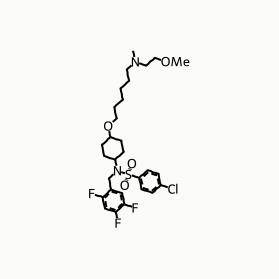 COCCN(C)CCCCCCOC1CCC(N(Cc2cc(F)c(F)cc2F)S(=O)(=O)c2ccc(Cl)cc2)CC1